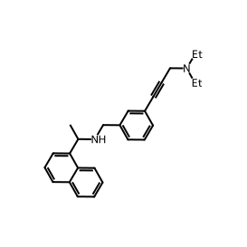 CCN(CC)CC#Cc1cccc(CNC(C)c2cccc3ccccc23)c1